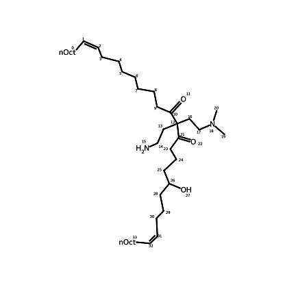 CCCCCCCC/C=C\CCCCCCCC(=O)C(CCN)(CCN(C)C)C(=O)CCCC(O)CCC/C=C\CCCCCCCC